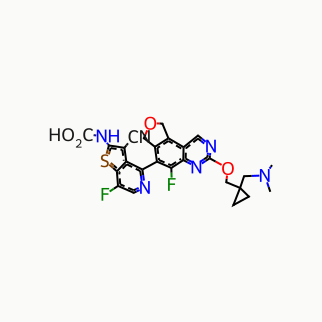 CN(C)CC1(COc2ncc3c4c(c(-c5ncc(F)c6sc(NC(=O)O)c(C#N)c56)c(F)c3n2)COC4)CC1